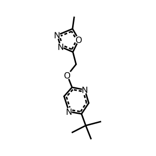 Cc1nnc(COc2cnc(C(C)(C)C)cn2)o1